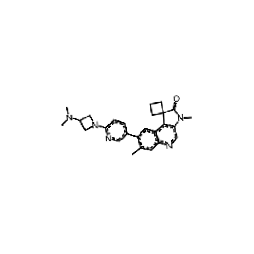 Cc1cc2ncc3c(c2cc1-c1ccc(N2CC(N(C)C)C2)nc1)C1(CCC1)C(=O)N3C